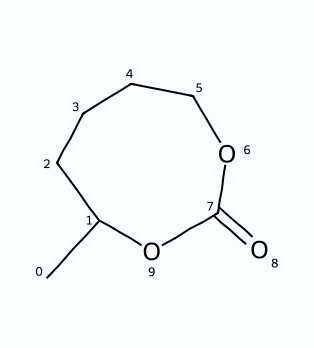 CC1CCCCOC(=O)O1